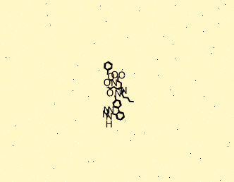 CCCCc1nc2c(n1Cc1ccc(-c3ccccc3-c3nnn[nH]3)cc1)C(C(C)=O)N(C(=O)OCc1ccccc1)C(C(=O)OC)C2